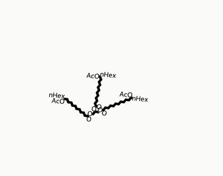 CCCCCCC(CCCCCCCCCCC(=O)OCC(COC(=O)CCCCCCCCCCC(CCCCCC)OC(C)=O)OC(=O)CCCCCCCCCCC(CCCCCC)OC(C)=O)OC(C)=O